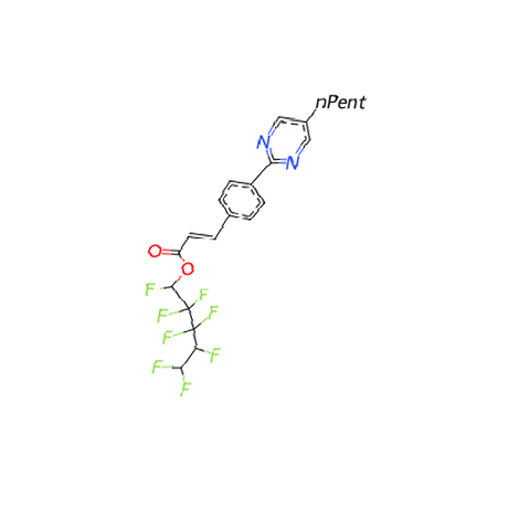 CCCCCc1cnc(-c2ccc(C=CC(=O)OC(F)C(F)(F)C(F)(F)C(F)C(F)F)cc2)nc1